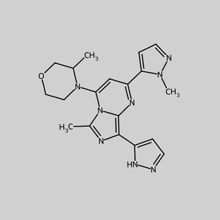 Cc1nc(-c2ccn[nH]2)c2nc(-c3ccnn3C)cc(N3CCOCC3C)n12